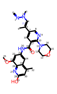 C=NN(C)/C=C(\C)c1cnc(N2CCOCC2)c(C(=O)Nc2cc(OC)c3nc(O)cc(C)c3c2)c1